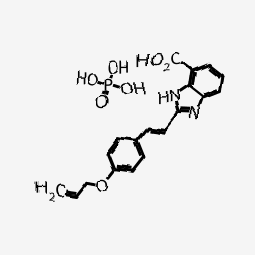 C=CCOc1ccc(C=Cc2nc3cccc(C(=O)O)c3[nH]2)cc1.O=P(O)(O)O